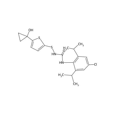 CC(C)c1cc(Cl)cc(C(C)C)c1NC(=O)NSc1ccc(C2(O)CC2)s1